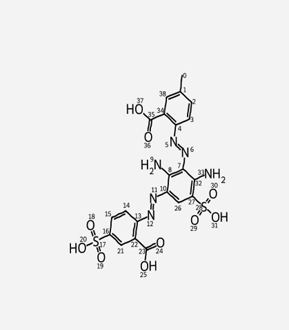 Cc1ccc(N=Nc2c(N)c(N=Nc3ccc(S(=O)(=O)O)cc3C(=O)O)cc(S(=O)(=O)O)c2N)c(C(=O)O)c1